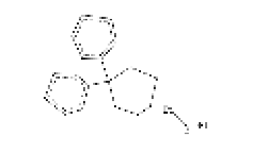 CCNCC.c1ccc(C2(c3ccccc3)CCCCC2)cc1